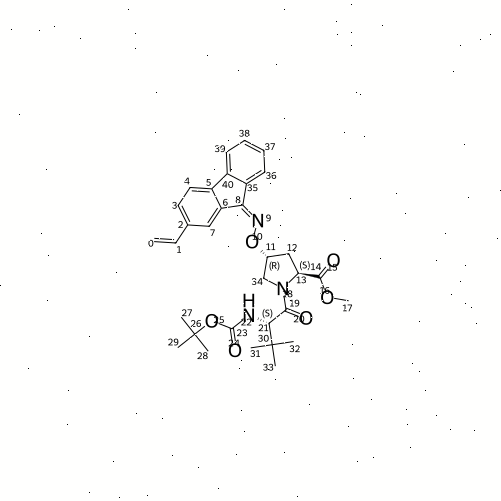 C=Cc1ccc2c(c1)C(=NO[C@@H]1C[C@@H](C(=O)OC)N(C(=O)[C@@H](NC(=O)OC(C)(C)C)C(C)(C)C)C1)c1ccccc1-2